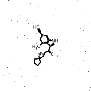 C#CC1C=c2[nH]cc(C(=C)CCC3(CCC)CCCC3)c2=C(C)C1